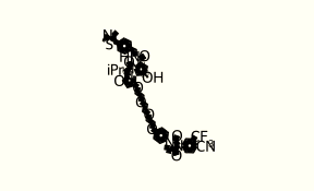 Cc1ncsc1-c1ccc(CNC(=O)[C@@H]2C[C@@H](O)CN2C(=O)[C@H](C(C)C)N2CC(OCCOCCOCCOc3ccc(N4C(=O)N(c5ccc(C#N)c(C(F)(F)F)c5)C(=O)C4(C)C)cc3)=CC2=O)cc1